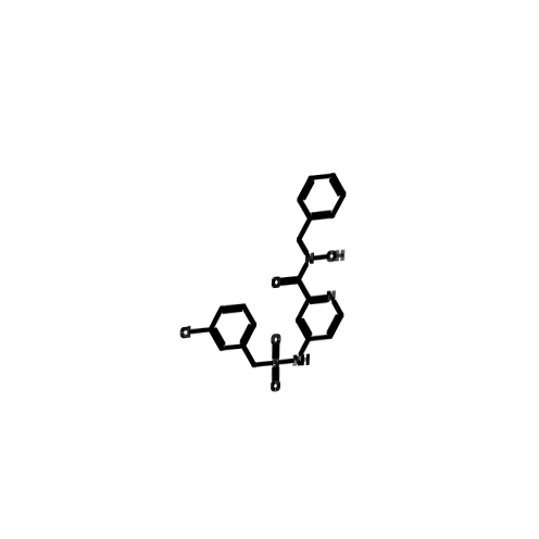 O=C(c1cc(NS(=O)(=O)Cc2cccc(Cl)c2)ccn1)N(O)Cc1ccccc1